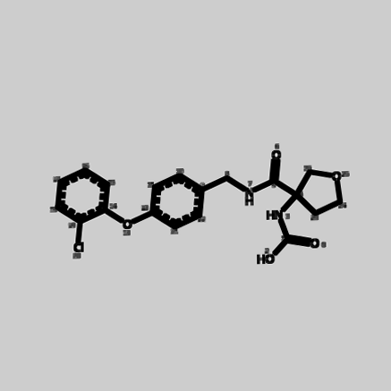 O=C(O)NC1(C(=O)NCc2ccc(Oc3ccccc3Cl)cc2)CCOC1